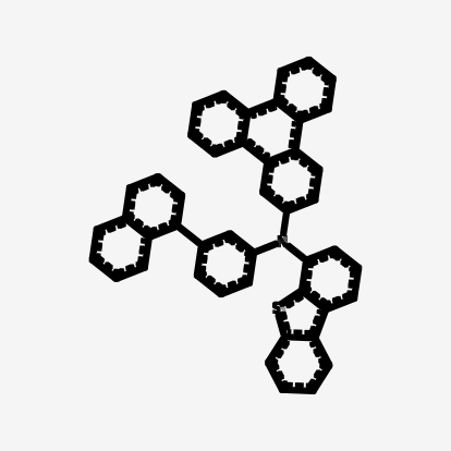 c1cc(-c2cccc3ccccc23)cc(N(c2ccc3c4ccccc4c4ccccc4c3c2)c2cccc3c2sc2ccccc23)c1